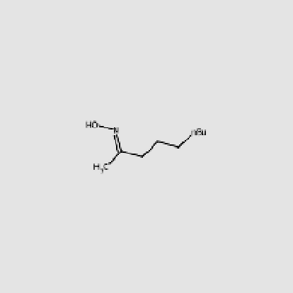 CCCCCCCC(C)=NO